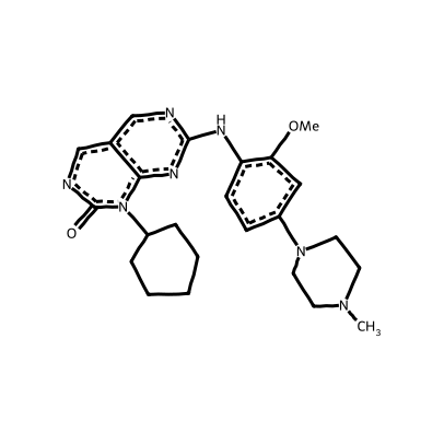 COc1cc(N2CCN(C)CC2)ccc1Nc1ncc2cnc(=O)n(C3CCCCC3)c2n1